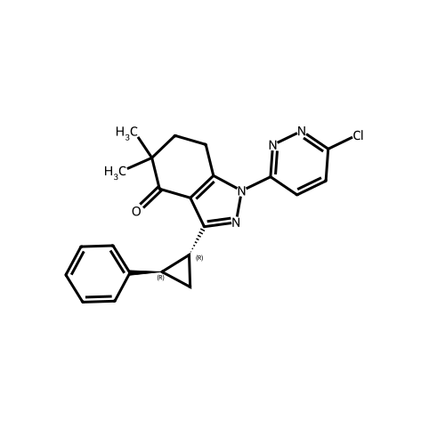 CC1(C)CCc2c(c([C@@H]3C[C@H]3c3ccccc3)nn2-c2ccc(Cl)nn2)C1=O